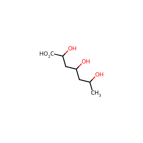 CC(O)CC(O)CC(O)C(=O)O